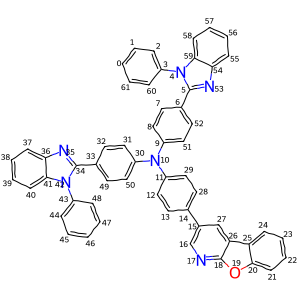 c1ccc(-n2c(-c3ccc(N(c4ccc(-c5cnc6oc7ccccc7c6c5)cc4)c4ccc(-c5nc6ccccc6n5-c5ccccc5)cc4)cc3)nc3ccccc32)cc1